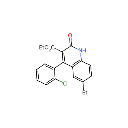 CCOC(=O)c1c(-c2ccccc2Cl)c2cc(CC)ccc2[nH]c1=O